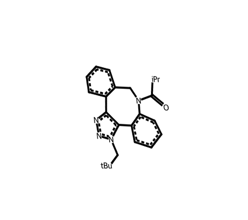 CC(C)C(=O)N1Cc2ccccc2-c2nnn(CC(C)(C)C)c2-c2ccccc21